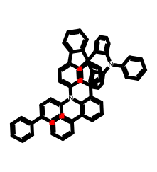 c1ccc(-c2ccc(N(c3ccc4c(c3)C3(c5ccccc5-4)c4ccccc4N(c4ccccc4)c4ccccc43)c3c(-c4ccccc4)cccc3-c3ccccc3)cc2)cc1